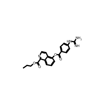 CCCOC(=O)c1nccc2c(OC(=O)c3ccc(NC(=N)N)cc3)cccc12